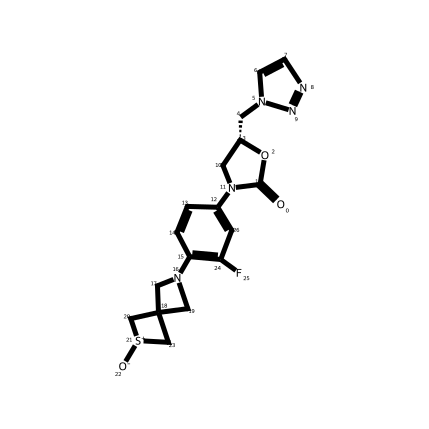 O=C1O[C@@H](Cn2ccnn2)CN1c1ccc(N2CC3(C2)C[S+]([O-])C3)c(F)c1